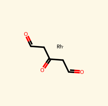 O=CCC(=O)CC=O.[Rh]